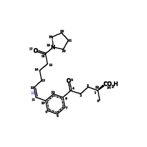 C[C@@H](CCC(=O)c1cccc(/C=C\CCCC(=O)N2CCCC2)c1)C(=O)O